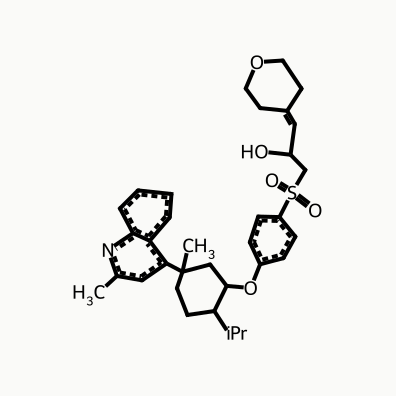 Cc1cc(C2(C)CCC(C(C)C)C(Oc3ccc(S(=O)(=O)CC(O)C=C4CCOCC4)cc3)C2)c2ccccc2n1